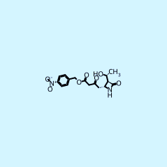 C[C@@H](O)[C@H]1C(=O)N[C@@H]1CC(=O)CC(=O)OCc1ccc([N+](=O)[O-])cc1